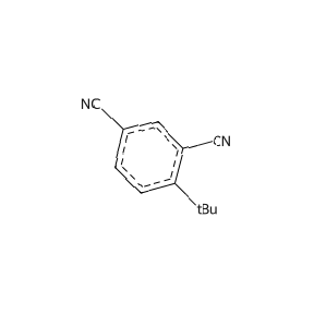 CC(C)(C)c1ccc(C#N)cc1C#N